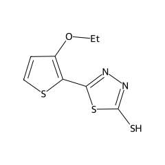 CCOc1ccsc1-c1nnc(S)s1